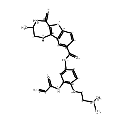 C=CC(=O)Nc1cc(NC(=O)c2ccc3sc4c(c3c2)NC[C@@H](C)NC4=O)ccc1OCCN(C)C